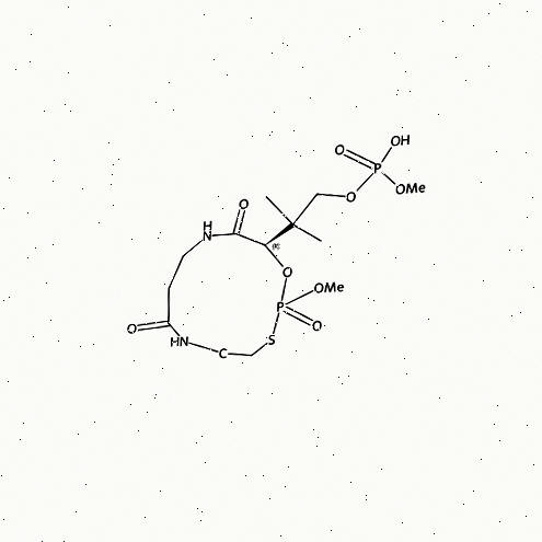 COP(=O)(O)OCC(C)(C)[C@H]1OP(=O)(OC)SCCNC(=O)CCNC1=O